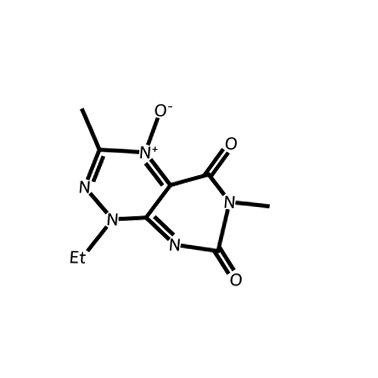 CCn1nc(C)[n+]([O-])c2c(=O)n(C)c(=O)nc1-2